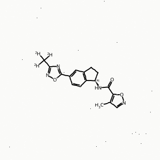 [2H]C([2H])([2H])c1noc(-c2ccc3c(c2)CC[C@H]3NC(=O)c2oncc2C)n1